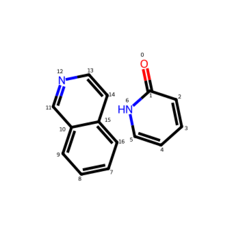 O=c1cccc[nH]1.c1ccc2cnccc2c1